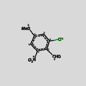 COc1cc(Cl)c(C=O)c([N+](=O)[O-])c1